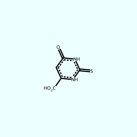 O=C(O)c1cc(=O)[nH]c(=S)[nH]1